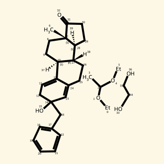 CCOC(C)OCC.C[C@]12CC[C@@H]3C4=CCC(O)(Cc5ccccc5)C=C4CC[C@H]3[C@@H]1CCC2=O.OCCO